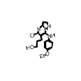 CCOc1ccc(Nc2c(CCCO)c(Cl)nc3ccnn23)cc1